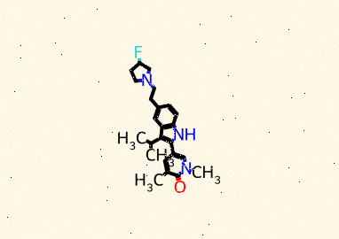 Cc1cc(-c2[nH]c3ccc(CCN4CCC(F)C4)cc3c2C(C)C)cn(C)c1=O